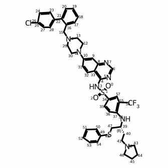 O=S(=O)(Nc1ncnc2cc(N3CCN(Cc4ccccc4-c4ccc(Cl)cc4)CC3)ccc12)c1ccc(N[C@H](CCN2CCCC2)CSc2ccccc2)c(C(F)(F)F)c1